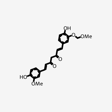 COCOc1cc(C=CC(=O)CC(=O)C=Cc2ccc(O)c(OC)c2)ccc1O